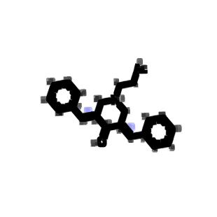 CC(=O)CCN1C/C(=C\c2ccccc2)C(=O)/C(=C/c2ccccc2)C1